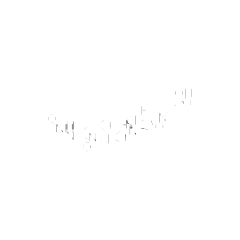 COc1cc(Cn2ncc3c(-c4cccc(-c5ccc(CNC[C@@H]6CCC(=O)N6)c(OC)n5)c4Cl)cccc32)c(Cl)c(F)c1CN(C)C12CCC(C(=O)O)(CC1)CC2